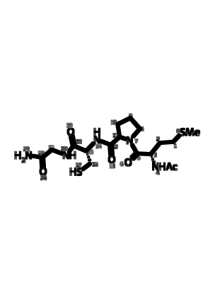 CSCC[C@H](NC(C)=O)C(=O)N1CCCC1C(=O)N[C@H](CS)C(=O)NCC(N)=O